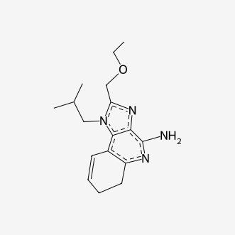 CCOCc1nc2c(N)nc3c(c2n1CC(C)C)C=CCC3